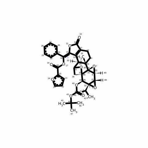 CC(C)[C@]12O[C@H]1[C@@H]1O[C@@]13[C@@]1(C)CCC4=C(/C(=C(\OC(=O)c5ccco5)c5ccccc5)OC4=O)[C@@H]1C1C[C@@]3(O1)[C@@H]2OC(=O)OC(C)(C)C